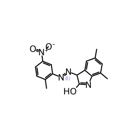 Cc1cc(C)c2c(c1)C(/N=N/c1cc([N+](=O)[O-])ccc1C)C(O)=N2